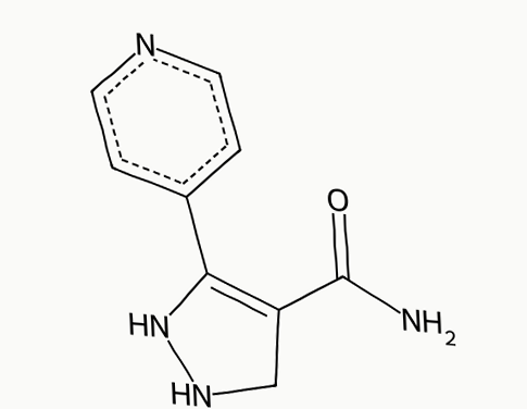 NC(=O)C1=C(c2ccncc2)NNC1